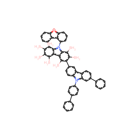 Bc1c(B)c(B)c2c(c1B)c1c(B)c(-c3ccc4c(c3)c3ccc(-c5ccccc5)cc3n4-c3ccc(-c4ccccc4)cc3)c(B)c(B)c1n2-c1cccc2oc3ccccc3c12